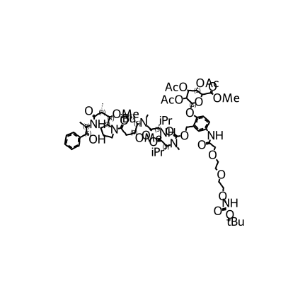 CC[C@H](C)[C@@H]([C@@H](CC(=O)N1CCC[C@H]1[C@H](OC)[C@@H](C)C(=O)N[C@H](C)[C@@H](O)c1ccccc1)OC)N(C)C(=O)[C@@H](NC(=O)[C@H](C(C)C)N(C)C(=O)OCc1cc(NC(=O)COCCOCCONC(=O)OC(C)(C)C)ccc1O[C@@H]1OC(C(=O)OC)[C@@H](OC(C)=O)C(OC(C)=O)C1OC(C)=O)C(C)C